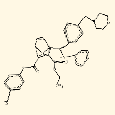 CCOC(=O)C1=C(C(=O)Nc2ccc(Cl)cc2)C2C=CC1(C(Nc1ccccc1)c1ccc(CN3CCOCC3)cc1)O2